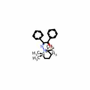 C[Si]1(C)CCC[Si](C)(C)N1N=C(C(=O)c1ccccc1)c1ccccc1